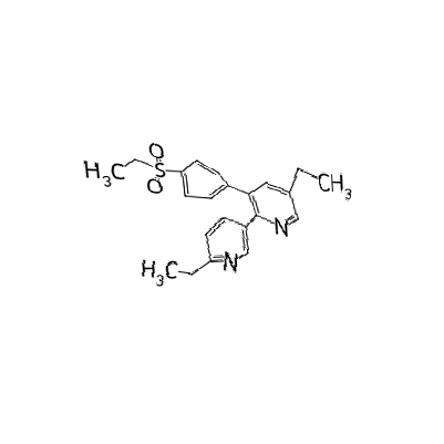 CCc1cnc(-c2ccc(CC)nc2)c(-c2ccc(S(=O)(=O)CC)cc2)c1